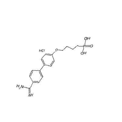 Cl.N=C(N)c1ccc(-c2ccc(OCCCCP(=O)(O)O)cc2)cc1